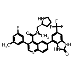 Cc1cc(F)cc(-c2cnc3ccc(-c4cc(C(F)(F)F)cc5[nH]c(=O)[nH]c45)cc3c2C(=O)N(C)C[C@@H]2CCCN2)c1